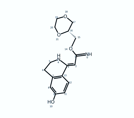 N=C(/C=C1\NCCc2cc(O)ccc21)OC[C@H]1COCCO1